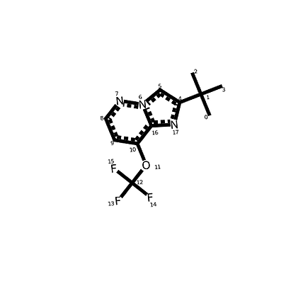 CC(C)(C)c1cn2nccc(OC(F)(F)F)c2n1